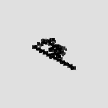 C=C(C)C(=O)O.C=C(C)C(=O)O.CC(O)COC(C)COC(C)CO.OCCOCCOCCOCCOCCOCCOCCO